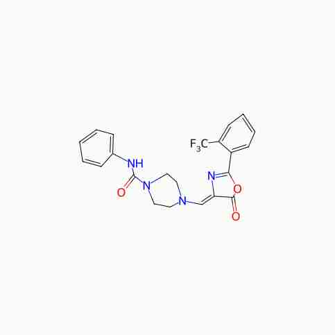 O=C1OC(c2ccccc2C(F)(F)F)=NC1=CN1CCN(C(=O)Nc2ccccc2)CC1